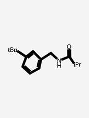 CC(C)C(=O)NCc1cccc(C(C)(C)C)c1